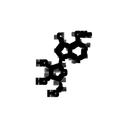 COc1ncnc2c1c(Cl)cn2[C@@H]1O[C@H](CO)[C@@H](O)[C@H]1O